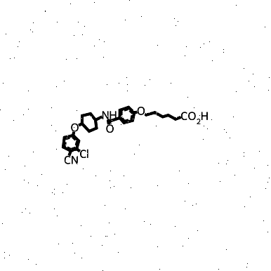 N#Cc1ccc(OC2CCC(NC(=O)c3ccc(OCCCCCC(=O)O)cc3)CC2)cc1Cl